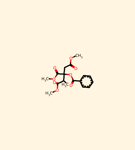 COC(=O)CC(OC(=O)c1ccccc1)(C(=O)OC)C(C)C(=O)OC